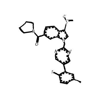 Cc1ccc(F)c(-c2cnc(-n3cc([S+](C)[O-])c4ccc(C(=O)N5CCCC5)cc43)nc2)c1